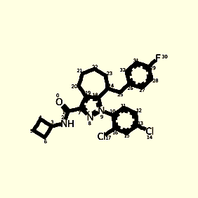 O=C(NC1CCC1)c1nn(-c2ccc(Cl)cc2Cl)c2c1CCCCC2Cc1ccc(F)cc1